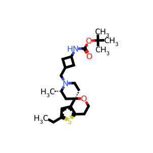 CCc1cc2c(s1)CCO[C@@]21CCN(CC2CC(NC(=O)OC(C)(C)C)C2)[C@@H](C)C1